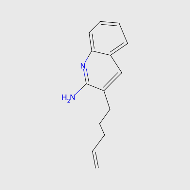 C=CCCCc1cc2ccccc2nc1N